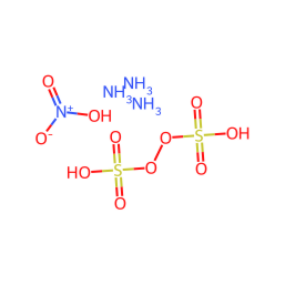 N.N.N.O=S(=O)(O)OOS(=O)(=O)O.O=[N+]([O-])O